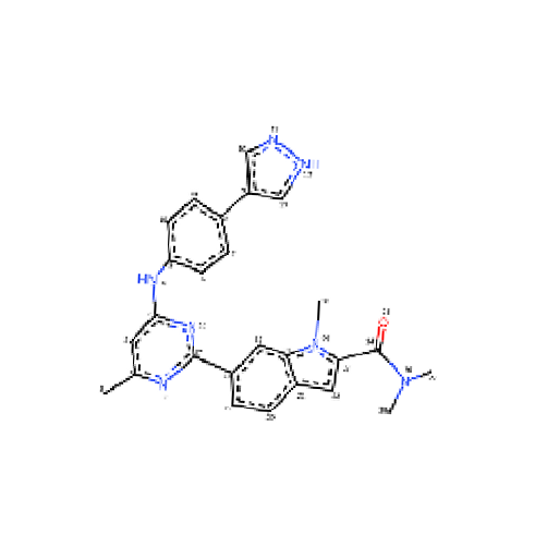 Cc1cc(Nc2ccc(-c3cn[nH]c3)cc2)nc(-c2ccc3cc(C(=O)N(C)C)n(C)c3c2)n1